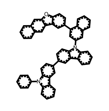 c1ccc(-n2c3ccccc3c3cc(-c4ccc5c(c4)c4ccccc4n5-c4cc(-c5ccc6oc7cc8ccccc8cc7c6c5)c5ccccc5c4)ccc32)cc1